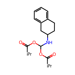 CC(C)C(=O)OC(NC1CCc2ccccc2C1)OC(=O)C(C)C